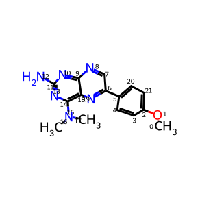 COc1ccc(-c2cnc3nc(N)nc(N(C)C)c3n2)cc1